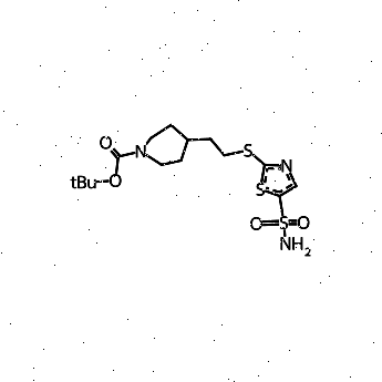 CC(C)(C)OC(=O)N1CCC(CCSc2ncc(S(N)(=O)=O)s2)CC1